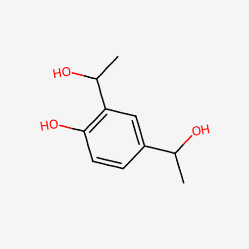 CC(O)c1ccc(O)c(C(C)O)c1